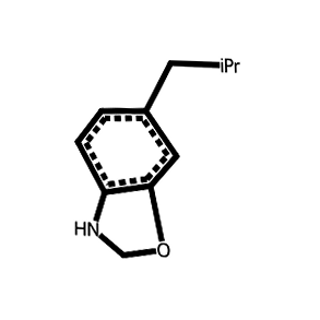 CC(C)Cc1ccc2c(c1)OCN2